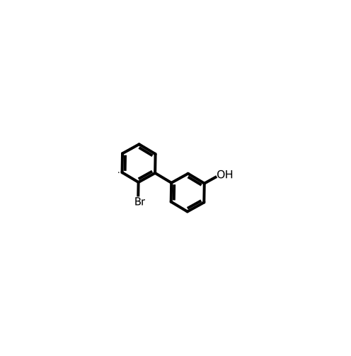 Oc1cccc(-c2ccc[c]c2Br)c1